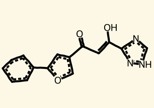 O=C(C=C(O)c1nc[nH]n1)c1coc(-c2ccccc2)c1